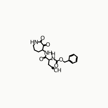 C#CCC(NC(=O)OCc1ccccc1)C(=O)NC1CCCNC(=O)C1=O